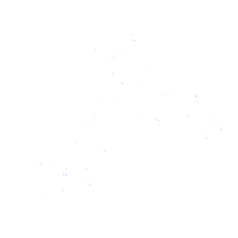 CC(=O)N1CCCC1c1cc2[nH]c(-c3ccccn3)nc2cc1Oc1ccc(C(=O)N2CCOCC2)cc1